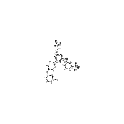 Cc1cccc(CN2CCN(c3nc(Nc4cccc(C(F)(F)F)c4)nc(OCC(F)(F)F)n3)CC2)n1